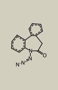 [N-]=[N+]=NN1C(=O)Cc2ccccc2-c2ccccc21